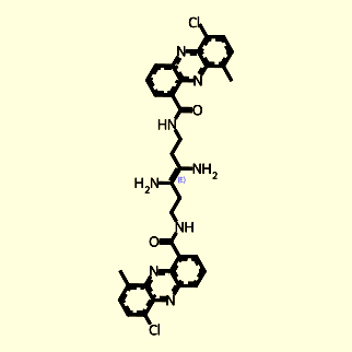 Cc1ccc(Cl)c2nc3cccc(C(=O)NCC/C(N)=C(\N)CCNC(=O)c4cccc5nc6c(Cl)ccc(C)c6nc45)c3nc12